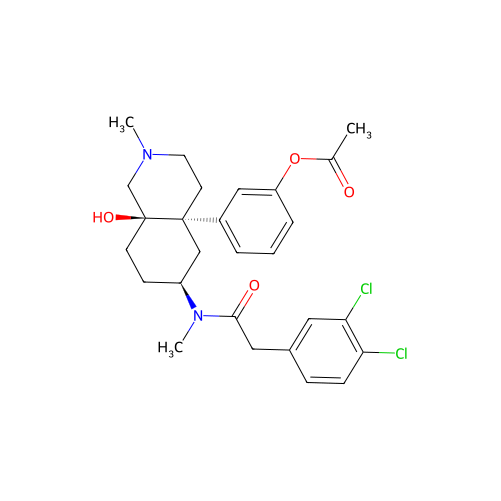 CC(=O)Oc1cccc([C@@]23CCN(C)C[C@@]2(O)CC[C@H](N(C)C(=O)Cc2ccc(Cl)c(Cl)c2)C3)c1